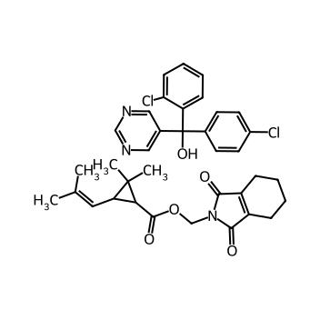 CC(C)=CC1C(C(=O)OCN2C(=O)C3=C(CCCC3)C2=O)C1(C)C.OC(c1ccc(Cl)cc1)(c1cncnc1)c1ccccc1Cl